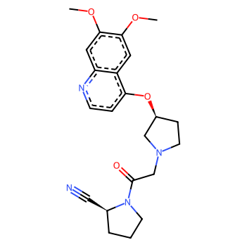 COc1cc2nccc(O[C@H]3CCN(CC(=O)N4CCC[C@H]4C#N)C3)c2cc1OC